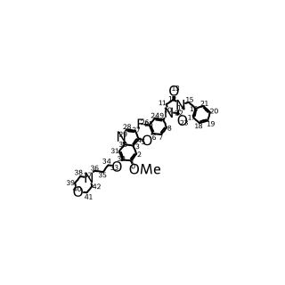 COc1cc2c(Oc3ccc(N4CC(=O)N(Cc5ccccc5)C4=O)cc3F)ccnc2cc1OCCCN1CCOCC1